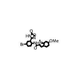 COc1ccc2cc(C(=O)Nc3ccc(Br)cc3-c3noc(=O)[nH]3)n(C)c2c1